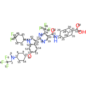 CN(CC(F)(F)F)[C@H]1CC[C@H](Oc2ccc3c(-c4ncc(C(=O)NC5CC6CC(C5)CC(C(=O)O)C6)c(C(F)(F)F)n4)cn(C4CCC(F)(F)CC4)c3c2)CC1